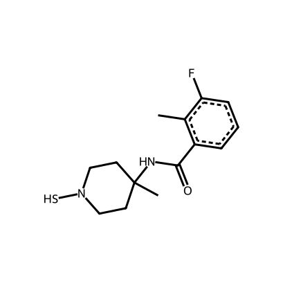 Cc1c(F)cccc1C(=O)NC1(C)CCN(S)CC1